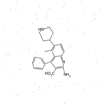 Cc1c(C2CCNCC2)ccc2nc(N)c(C(=O)O)c(-c3ccccc3)c12